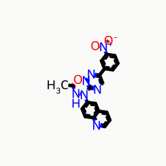 CC(=O)NN(c1ccc2ncccc2c1)c1ncc(-c2cccc([N+](=O)[O-])c2)nn1